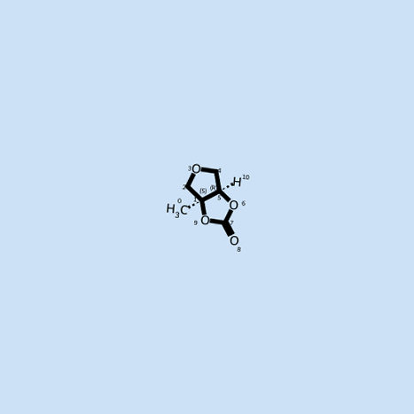 C[C@]12COC[C@H]1OC(=O)O2